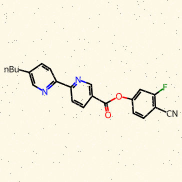 CCCCc1ccc(-c2ccc(C(=O)Oc3ccc(C#N)c(F)c3)cn2)nc1